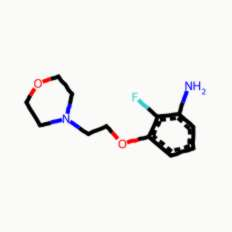 Nc1cccc(OCCN2CCOCC2)c1F